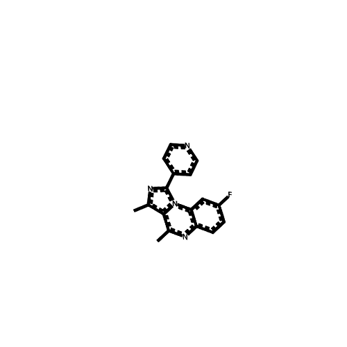 Cc1nc(-c2ccncc2)n2c1c(C)nc1ccc(F)cc12